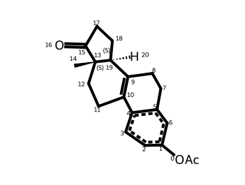 CC(=O)Oc1ccc2c(c1)CCC1=C2CC[C@]2(C)C(=O)CC[C@@H]12